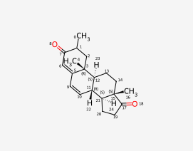 CC1C[C@@]2(C)C(=CC1=O)C=C[C@@H]1[C@@H]2CC[C@]2(C)C(=O)CC[C@@H]12